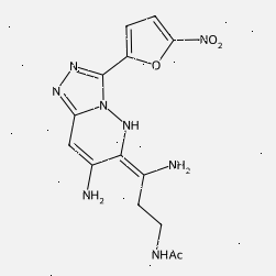 CC(=O)NCCC(N)=C1Nn2c(nnc2-c2ccc([N+](=O)[O-])o2)C=C1N